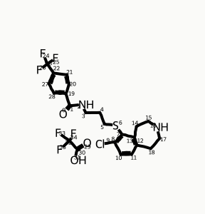 O=C(NCCCSc1c(Cl)ccc2c1CCNCC2)c1ccc(C(F)(F)F)cc1.O=C(O)C(F)(F)F